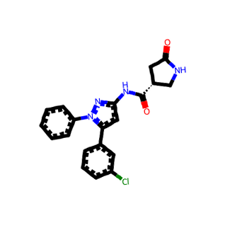 O=C1C[C@@H](C(=O)Nc2cc(-c3cccc(Cl)c3)n(-c3ccccc3)n2)CN1